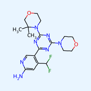 CC1(C)COCCN1c1nc(-c2cnc(N)cc2C(F)F)nc(N2CCOCC2)n1